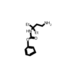 CCC(CC)(CCN)NC(=O)Oc1ccccc1